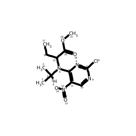 [2H]C(C)(C)N(c1nc(Cl)ncc1[N+](=O)[O-])C(CC)C(=O)OC